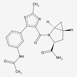 CC(=O)Nc1cccc(-c2sc(C)nc2C(=O)N2[C@H](C(N)=O)C[C@H]3C[C@@H]32)c1